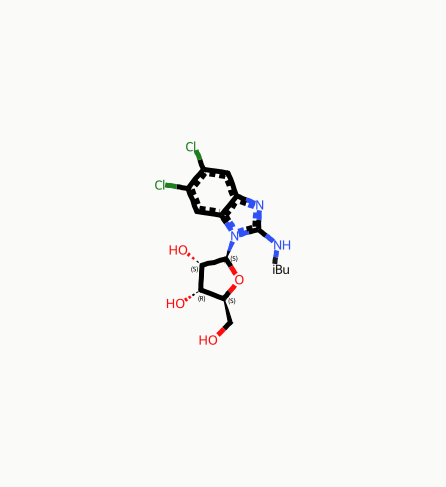 CCC(C)Nc1nc2cc(Cl)c(Cl)cc2n1[C@H]1O[C@@H](CO)[C@H](O)[C@@H]1O